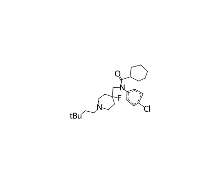 CC(C)(C)CCN1CCC(F)(CN(C(=O)C2CCCCC2)c2ccc(Cl)cc2)CC1